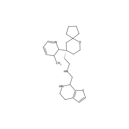 CC1C=CC=NC1[C@]1(CCNCC2NCCc3ccsc32)CCOC2(CCCC2)C1